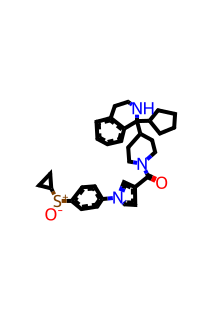 O=C(c1ccn(-c2ccc([S+]([O-])C3CC3)cc2)c1)N1CCC(C2(C3CCCC3)NCCc3ccccc32)CC1